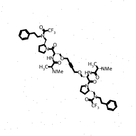 CN[C@@H](C)C(=O)N[C@@H](COCC#CCOC[C@H](NC(=O)[C@H](C)NC)C(=O)N1CCC[C@H]1CN(CCc1ccccc1)C(=O)C(F)(F)F)C(=O)N1CCC[C@H]1CN(CCc1ccccc1)C(=O)C(F)(F)F